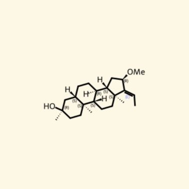 C/C=C1/[C@H](OC)C[C@H]2[C@@H]3CC[C@H]4C[C@](C)(O)CC[C@]4(C)[C@H]3CC[C@]12C